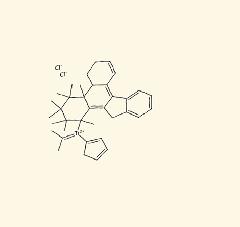 C[C](C)=[Ti+2]([C]1=CC=CC1)[C]1(C)C2=C3Cc4ccccc4C3=C3C=CCCC3C2(C)C(C)(C)C(C)(C)C1(C)C.[Cl-].[Cl-]